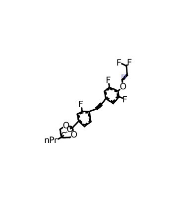 CCCC12COC(c3ccc(C#Cc4cc(F)c(O/C=C/C(F)F)c(F)c4)c(F)c3)(OC1)OC2